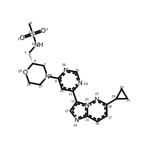 CS(=O)(=O)NC[C@@H]1CN(c2cc(-c3cnc4ccc(C5CC5)nn34)ncn2)CCO1